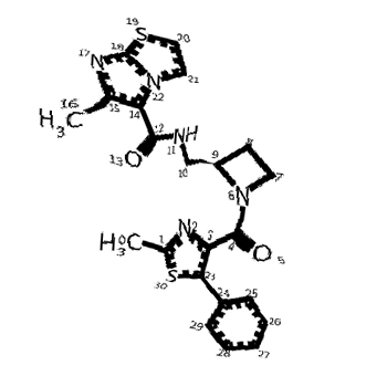 Cc1nc(C(=O)N2CC[C@@H]2CNC(=O)c2c(C)nc3sccn23)c(-c2ccccc2)s1